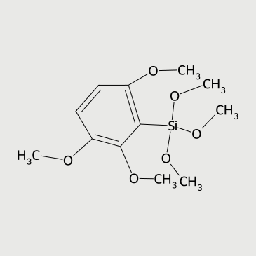 COc1ccc(OC)c([Si](OC)(OC)OC)c1OC